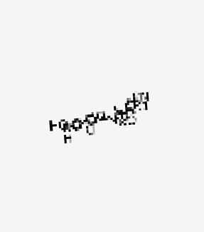 Cc1c(N2C(=O)C(C)(C)N(CCCOc3ccc(-c4ccc(NO)cc4)c(Cl)c3)C2=S)ccc(C#N)c1Cl